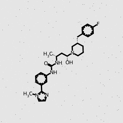 C[C@H](C[C@@H](O)N1CCC[C@@H](Cc2ccc(F)cc2)C1)NC(=O)Nc1cccc(-c2nccn2C)c1